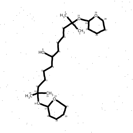 CC(C)(CCCCC(O)CCCCC(C)(C)OC1CCCCO1)OC1CCCCO1